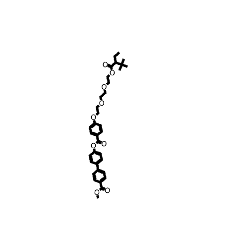 CCC(C(=O)OCCOCCOCCOc1ccc(C(=O)Oc2ccc(-c3ccc(C(=O)OC)cc3)cc2)cc1)C(C)(C)C